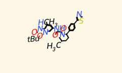 Cc1cc(NC(=O)C(=O)N2CC(C)CCC2c2ccc(-c3cncs3)cc2)cnc1NC(=O)OC(C)(C)C